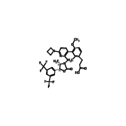 COc1ccc(CCC(=O)O)c(C)c1-c1ccc(N2CCC2)nc1CN1C(=O)O[C@H](c2cc(C(F)(F)F)cc(C(F)(F)F)c2)[C@@H]1C